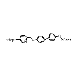 CCCCCCCc1ccc(CCc2ccc(-c3ccc(OCCCCC)cc3)cc2)nc1